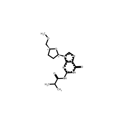 COC[C@@H]1CC[C@H](n2cnc3c(=O)[nH]c(NC(=O)C(C)C)nc32)O1